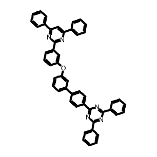 c1ccc(-c2cc(-c3ccccc3)nc(-c3cccc(Oc4cccc(-c5ccc(-c6nc(-c7ccccc7)nc(-c7ccccc7)n6)cc5)c4)c3)n2)cc1